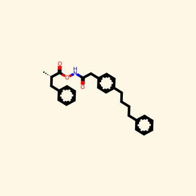 C[C@@H](Cc1ccccc1)C(=O)ONC(=O)Cc1ccc(CCCCc2ccccc2)cc1